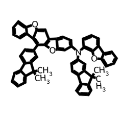 CC1(C)c2ccccc2-c2ccc(-c3c4oc5cc(N(c6ccc7c(c6)C(C)(C)c6ccccc6-7)c6cccc7c6oc6ccccc67)ccc5c4cc4oc5ccccc5c34)cc21